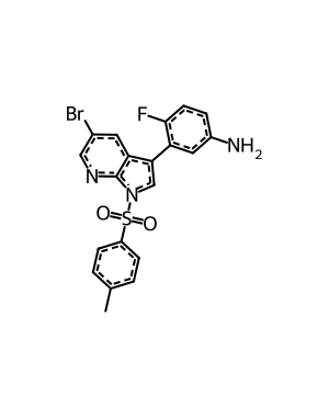 Cc1ccc(S(=O)(=O)n2cc(-c3cc(N)ccc3F)c3cc(Br)cnc32)cc1